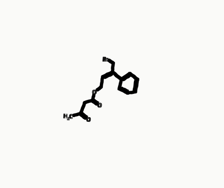 CC(=O)CC(=O)OC/C=C(/CBr)c1ccccc1